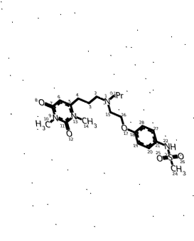 CC(C)N(CCCc1cc(=O)n(C)c(=O)n1C)CCOc1ccc(NS(C)(=O)=O)cc1